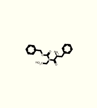 N[C@@H](Cc1ccccc1)C(=O)N(CC(=O)O)C(=O)OCc1ccccc1